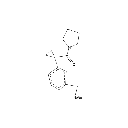 CNCc1cccc(C2(C(=O)N3CCCC3)CC2)c1